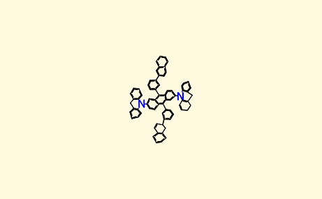 C1=CC2=C(CC1)Cc1ccccc1N2c1ccc2c(-c3cccc(-c4ccc5ccccc5c4)c3)c3cc(N4c5ccccc5Cc5ccccc54)ccc3c(-c3cccc(C4C=Cc5ccccc5C4)c3)c2c1